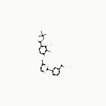 Cc1c(OCc2ccnc(-c3cccc(C(=O)O)c3)n2)ccc(C(=O)CC(C)(C)C)c1O